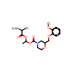 CCOc1ccccc1OCC1CN(C(=O)OC(C)OC(=O)C(NC(C)=O)C(C)C)CCO1